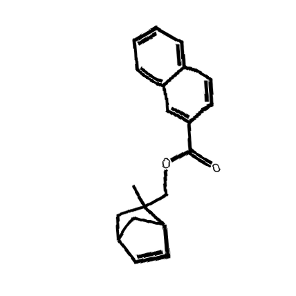 CC1(COC(=O)c2ccc3ccccc3c2)CC2C=CC1C2